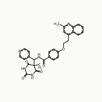 Cc1cc(CCOc2ccc(C(=O)NC(c3ccncc3)C3(C)C(=O)NC(=O)NC3=O)cc2)c2ccccc2n1